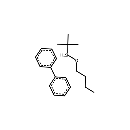 CCCCO[SiH2]C(C)(C)C.c1ccc(-c2ccccc2)cc1